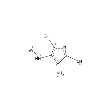 CC(C)Nc1c(N)c(C#N)nn1C(C)C